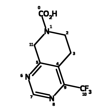 O=C(O)N1CCc2c(ncnc2C(F)(F)F)C1